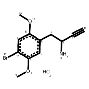 C#CC(N)Cc1cc(OC)c(Br)cc1OC.Cl